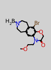 BN1CCc2cc3c(c(Br)c2CC1)OCC(=O)N3CCOC